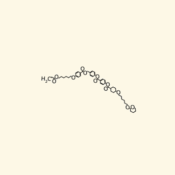 C=CC(=O)OCCCCCCOc1ccc(C(=O)OCc2ccc(OC(=O)c3ccc(OC(=O)C4CCC(OCCCCCCOC5CCCCO5)CC4)cc3)cc2)cc1